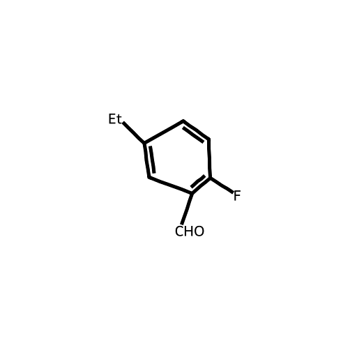 CCc1ccc(F)c(C=O)c1